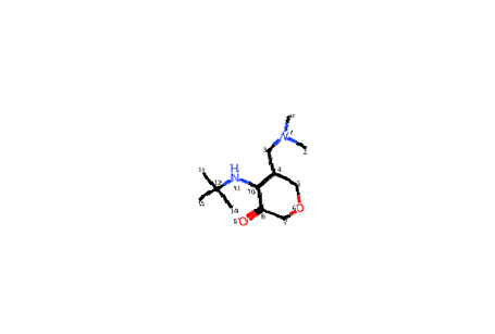 CN(C)CC1COCC(=O)C1NC(C)(C)C